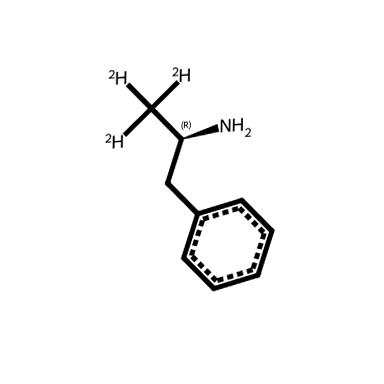 [2H]C([2H])([2H])[C@@H](N)Cc1ccccc1